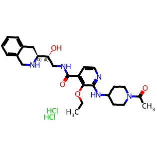 CCOc1c(C(=O)NC[C@@H](O)[C@@H]2Cc3ccccc3CN2)ccnc1NC1CCN(C(C)=O)CC1.Cl.Cl